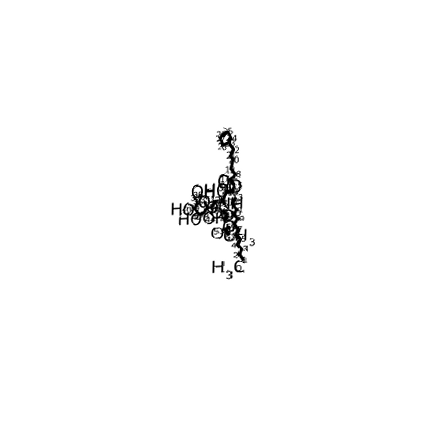 CCCCCCCCCCCCCC[C@@H](OC(=O)CCCCCc1ccccc1)[C@@H](O)[C@H](CO[C@@H]1O[C@H](CO)[C@H](O)[C@H](O)[C@H]1O)NC(=O)OCOC(C)=O